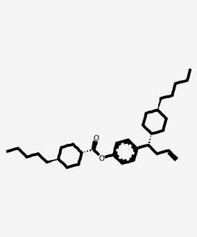 C=CCC(c1ccc(OC(=O)[C@H]2CC[C@H](CCCCC)CC2)cc1)[C@H]1CC[C@H](CCCCC)CC1